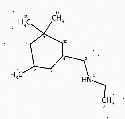 CCNCC1CC(C)CC(C)(C)C1